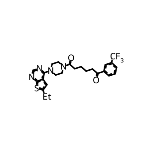 CCc1cc2c(N3CCN(C(=O)CCCCC(=O)c4cccc(C(F)(F)F)c4)CC3)ncnc2s1